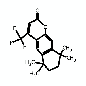 CC1(C)CCC(C)(C)c2cc3c(C(F)(F)F)cc(=O)oc3cc21